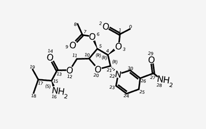 CC(=O)O[C@@H]1[C@H](OC(C)=O)C(COC(=O)[C@@H](N)C(C)C)O[C@H]1N1C=CCC(C(N)=O)=C1